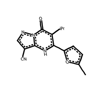 Cc1ccc(-c2[nH]c3c(C#N)cnn3c(=O)c2C(C)C)o1